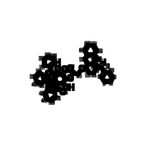 CC(C)C1(C)C(Cc2ccccc2)CCC(OCC(=O)O[C@H]2[C@@H](O)[C@](O)(C(=O)c3ccccc3)[C@@](O)(C(=O)c3ccccc3)[C@](O)(C(=O)c3ccccc3)[C@@H]2O)C1Cc1ccccc1